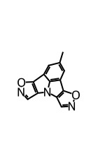 Cc1cc2c3oncc3n3c4cnoc4c(c1)c23